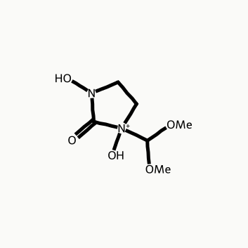 COC(OC)[N+]1(O)CCN(O)C1=O